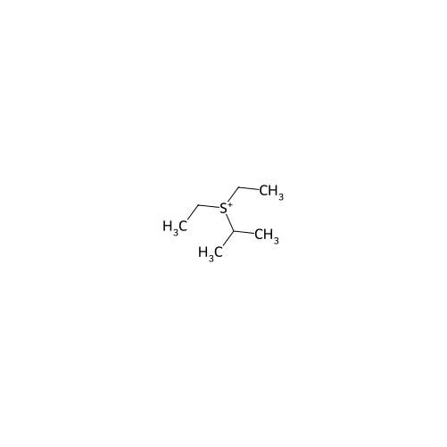 CC[S+](CC)C(C)C